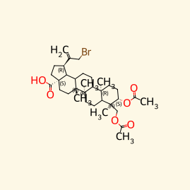 C=C(CBr)[C@@H]1CC[C@]2(C(=O)O)CC[C@]3(C)C(CCC4[C@@]5(C)CC[C@H](OC(C)=O)[C@@](C)(COC(C)=O)C5CC[C@]43C)C12